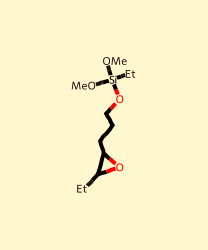 CCC1OC1CCCO[Si](CC)(OC)OC